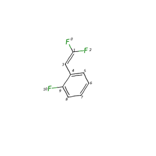 FC(F)=Cc1ccccc1F